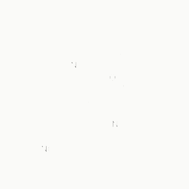 N#Cc1ccc(-c2ccccc2-n2c3ccccc3c3ccccc32)c(-n2c3ccccc3c3ccc4c5ccccc5oc4c32)c1